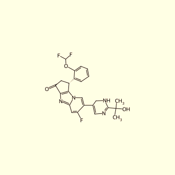 CC(C)(O)C1=NC=C(c2cn3c4c(nc3cc2F)C(=O)C[C@@H]4c2ccccc2OC(F)F)CN1